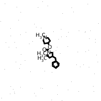 CN1CCC(OC(=O)N2CC(Cc3ccccc3)CC2(C)C)CC1